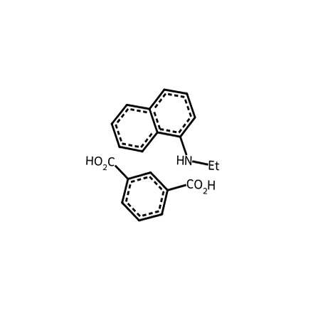 CCNc1cccc2ccccc12.O=C(O)c1cccc(C(=O)O)c1